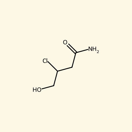 NC(=O)CC(Cl)CO